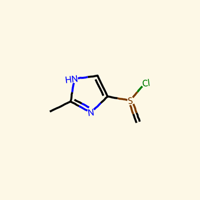 C=S(Cl)c1c[nH]c(C)n1